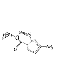 CSc1cc(N)ccc1C(=O)OC(C)(C)C